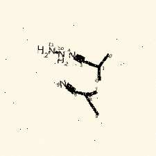 CC(C)C#N.CC(C)C#N.NN